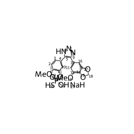 COc1ccc(-c2[nH]nnc2-c2cc(OC)c3c(c2)OCO3)cc1OP(=O)(O)S.[NaH]